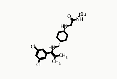 CC(C)=C(NC[C@H]1CC[C@H](NCC(=O)NC(C)(C)C)CC1)c1cc(Cl)cc(Cl)c1